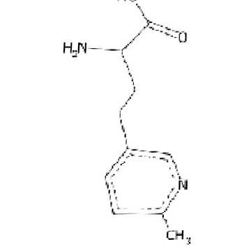 Cc1ccc(CCC(N)C(=O)O)cn1